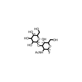 CC(=O)NC1C(O[C@@H]2OC(CO)[C@H](O)C(O)C2O)[C@H](O)C(CO)O[C@H]1F